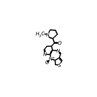 CN1CCCC(C(=O)C2CC=NC3=C2N=CC2=CSCC2[N+]3=O)C1